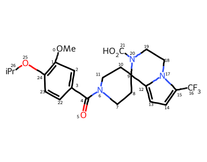 COc1cc(C(=O)N2CCC3(CC2)c2ccc(C(F)(F)F)n2CCN3C(=O)O)ccc1OC(C)C